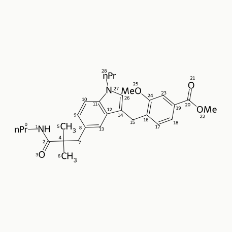 CCCNC(=O)C(C)(C)Cc1ccc2c(c1)c(Cc1ccc(C(=O)OC)cc1OC)cn2CCC